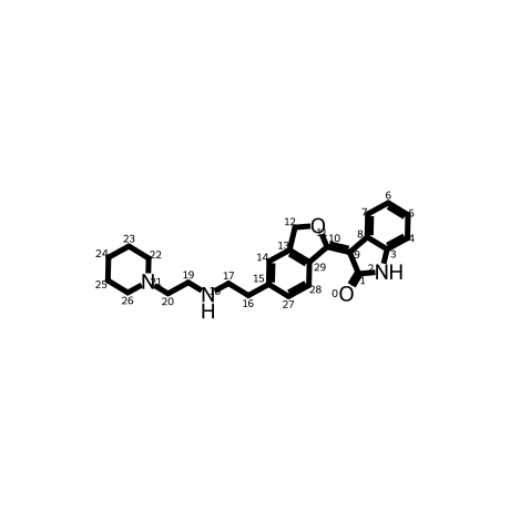 O=C1Nc2ccccc2/C1=C1\OCc2cc(CCNCCN3CCCCC3)ccc21